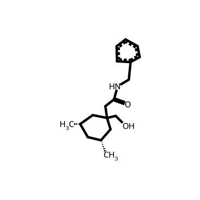 C[C@@H]1C[C@H](C)CC(CO)(CC(=O)NCc2ccccc2)C1